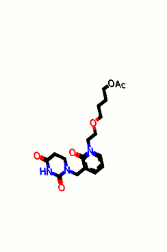 CC(=O)OCCCCOCCn1cccc(CN2CCC(=O)NC2=O)c1=O